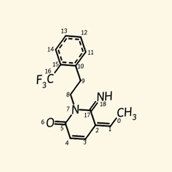 C/C=C1/C=CC(=O)N(CCc2ccccc2C(F)(F)F)C1=N